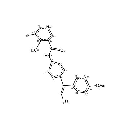 CC=C(c1ccc(NC(=O)c2cncc(F)c2C)nc1)c1ccc(OC)nc1